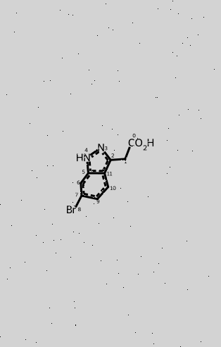 O=C(O)Cc1n[nH]c2cc(Br)ccc12